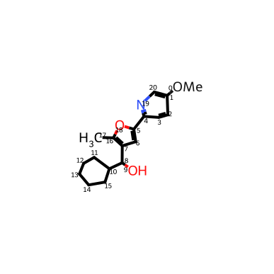 COc1ccc(-c2cc(C(O)C3CCCCC3)c(C)o2)nc1